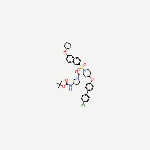 CC(C)(C)OC(=O)N[C@@H]1CCN(C(=O)[C@H]2C[C@H](Oc3ccc(-c4ccc(Cl)cc4)cc3)CCN2S(=O)(=O)c2ccc3cc(OC4CCCC4)ccc3c2)C1